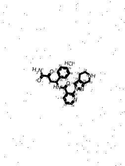 Cl.NC(=O)C(=O)CC(NC(=O)c1cccnc1-n1cc2c(n1)CNCC2)c1ccccc1